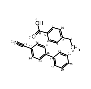 CCc1ccc(C(=O)O)cc1.N#Cc1ccc(-c2ccccc2)cc1